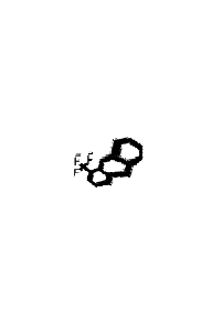 FC(F)(F)c1cccc2cc3ccccc3cc12